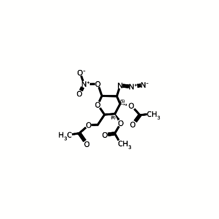 CC(=O)OCC1OC(O[N+](=O)[O-])C(N=[N+]=[N-])[C@H](OC(C)=O)[C@H]1OC(C)=O